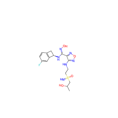 CC(O)CS(=N)(=O)CCNc1nonc1/C(=N\O)N[C@@H]1Cc2ccc(F)cc21